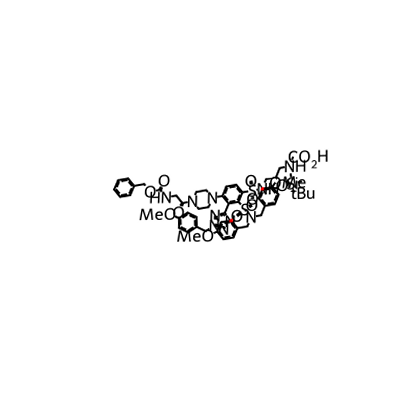 COc1ccc(CN(Cc2ccc(OC)cc2)S(=O)(=O)c2c(S(=O)(=O)NC[C@@H](CNC(=O)O)O[Si](C)(C)C(C)(C)C)ccc(N3CCN(C(=O)CNC(=O)OCc4ccccc4)CC3)c2-c2nnn(Cc3ccc(OC)cc3)n2)cc1